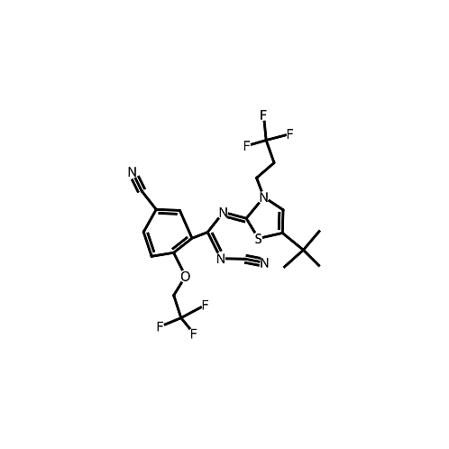 CC(C)(C)c1cn(CCC(F)(F)F)c(=NC(=NC#N)c2cc(C#N)ccc2OCC(F)(F)F)s1